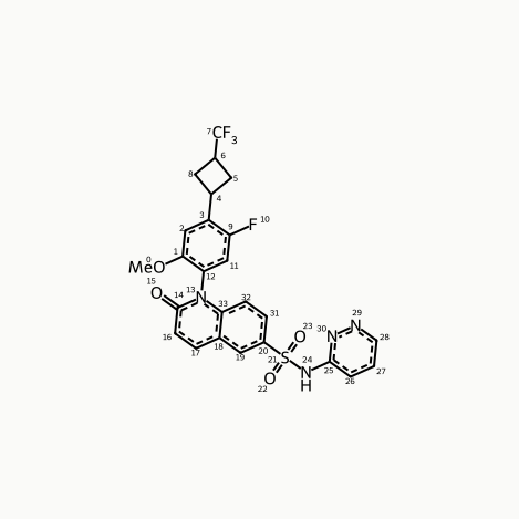 COc1cc(C2CC(C(F)(F)F)C2)c(F)cc1-n1c(=O)ccc2cc(S(=O)(=O)Nc3cccnn3)ccc21